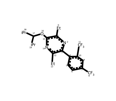 CCc1nc(-c2ccc(C(F)(F)F)cc2C(F)(F)F)c(CC)nc1OC(C(C)C)C(C)C